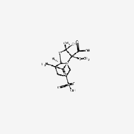 CO[C@]1(C(=O)O)C(C)(C)S[C@@H]2C3(N)CC(S(=O)(=O)O)C[N+]21C3=O